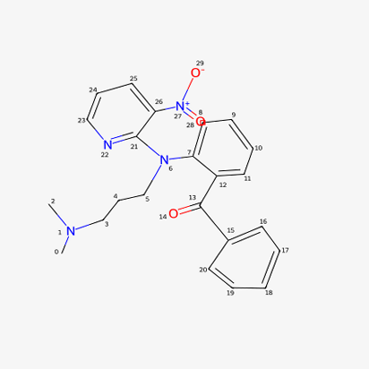 CN(C)CCCN(c1ccccc1C(=O)c1ccccc1)c1ncccc1[N+](=O)[O-]